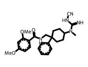 COc1ccc(C(=O)NCC2(c3ccccc3)CCC(N(C)C(=N)NC#N)CC2)c(OC)c1